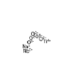 [Na+].[Nb+5].[O-2].[O-2].[O-2].[O-2].[O-2].[Ti+4]